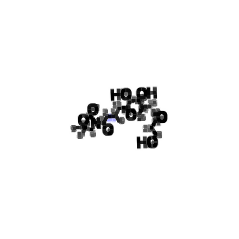 C/C(=C\C(=O)N1CC(C)(C)OC1=O)C[C@@H]1OC[C@H](C[C@@H]2OC2CCO)C(O)C1O